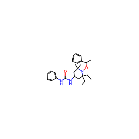 CCC1(CC)CC(NC(=O)Nc2ccccc2)CC(C)(C)N1OC(C)c1ccccc1